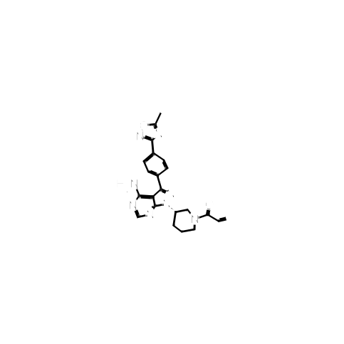 C=CC(=O)N1CCC[C@@H](n2nc(-c3ccc(-c4noc(C)n4)cc3)c3c(N)ncnc32)C1